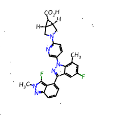 Cc1cc(F)cc2c(-c3cccc4nn(C)c(F)c34)nn(-c3ccc(N4C[C@@H]5C(C(=O)O)[C@@H]5C4)nc3)c12